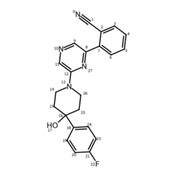 N#Cc1ccccc1-c1cncc(N2CCC(O)(c3ccc(F)cc3)CC2)n1